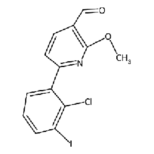 COc1nc(-c2cccc(I)c2Cl)ccc1C=O